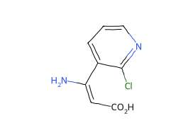 N/C(=C/C(=O)O)c1cccnc1Cl